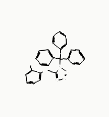 O=C(O)c1ccccc1Bc1nnnn1C(c1ccccc1)(c1ccccc1)c1ccccc1